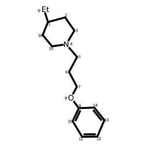 CCC1CCN(CCCOc2ccccc2)CC1